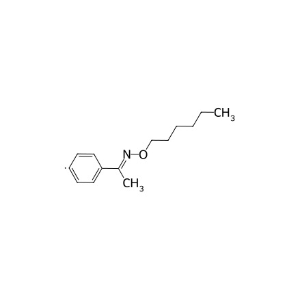 CCCCCCON=C(C)c1cc[c]cc1